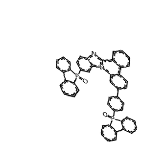 O=P1(c2ccc(-c3ccc4c5ccccc5c5nc6ccc(P7(=O)c8ccccc8-c8ccccc87)cc6n5c4c3)cc2)c2ccccc2-c2ccccc21